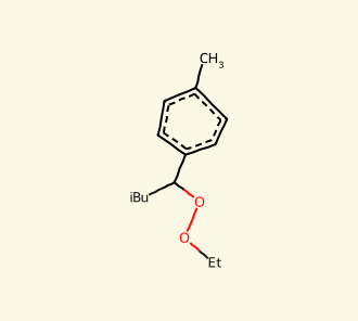 CCOOC(c1ccc(C)cc1)C(C)CC